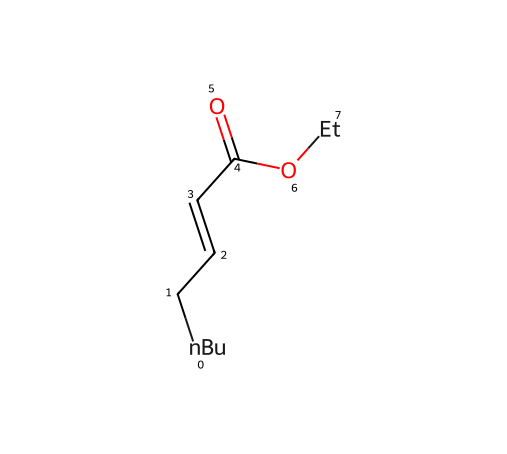 CCCCCC=CC(=O)OCC